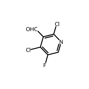 O=Cc1c(Cl)ncc(F)c1Cl